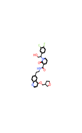 O=C(NCCc1ccc2nccc(OCC3CCOC3)c2c1)c1cccn(C(CO)c2ccc(F)c(F)c2)c1=O